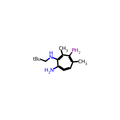 CC1=C(P)C(C)=C(NCC(C)(C)C)C(N)=C=C1